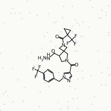 NNC(=O)C1CN(C(=O)c2cnn(Cc3ccc(C(F)(F)F)cc3)c2)CC12CN(C(=O)C1(C(F)(F)F)CC1)C2